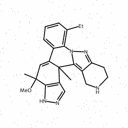 CCc1cccc2c1-n1nc3c(c1C1(C)C2=CC(C)(OC)c2[nH]ncc21)CNCC3